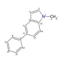 [CH2]n1ccc2cc(-c3ccccc3)ccc21